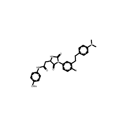 COc1ccc(NC(=O)CC2NC(=S)N(c3ccc(F)c(CCc4ccc(N(C)C)cc4)c3)C2=O)cc1